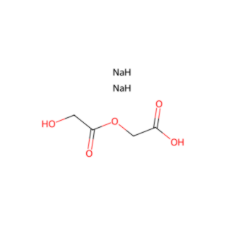 O=C(O)COC(=O)CO.[NaH].[NaH]